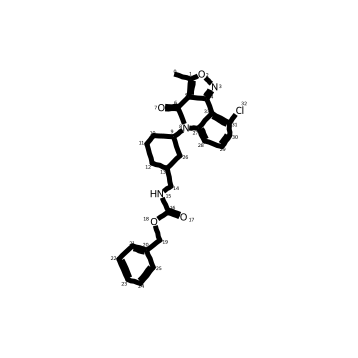 Cc1onc2c1c(=O)n(C1CCCC(CNC(=O)OCc3ccccc3)C1)c1cccc(Cl)c21